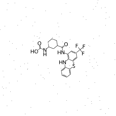 O=C(O)NC1CCCC(C(=O)Nc2cc(C(F)(F)F)cc3c2Nc2ccccc2S3)C1